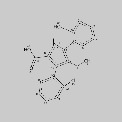 CCc1c(-c2ccccc2O)[nH]c(C(=O)O)c1-c1ccccc1Cl